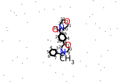 CC(c1ccccc1)N1CCOC(c2ccc(C(=O)N3CCOCC3)cc2)C1